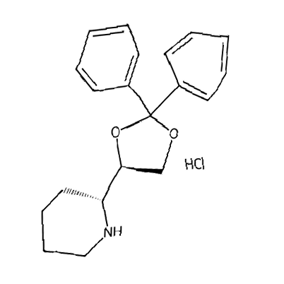 Cl.c1ccc(C2(c3ccccc3)OC[C@@H]([C@H]3CCCCN3)O2)cc1